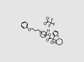 O=C(O[C@H]1C[N+]2(CCCOc3ccccc3)CCC1CC2)[C@](O)(c1cccs1)C1CCCCC1.O=C([O-])C(F)(F)F